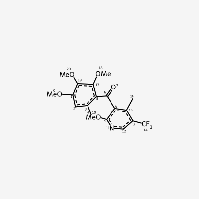 COc1cc(C)c(C(=O)c2c(OC)ncc(C(F)(F)F)c2C)c(OC)c1OC